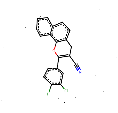 N#CC1=C(c2ccc(F)c(Cl)c2)Oc2c(ccc3ccccc23)C1